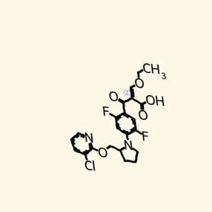 CCO/C=C(\C(=O)O)C(=O)c1cc(F)c(N2CCCC2COc2ncccc2Cl)cc1F